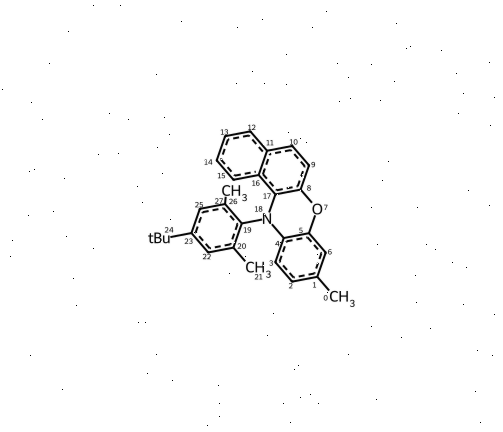 Cc1ccc2c(c1)Oc1ccc3ccccc3c1N2c1c(C)cc(C(C)(C)C)cc1C